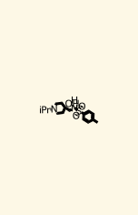 Cc1ccc(S(=O)(=O)NCC2(O)CCN(C(C)C)CC2)cc1